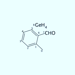 Cc1ccccc1C=O.[GeH4]